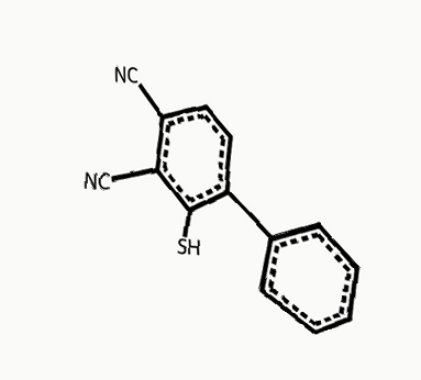 N#Cc1ccc(-c2ccccc2)c(S)c1C#N